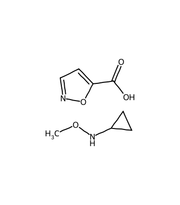 CONC1CC1.O=C(O)c1ccno1